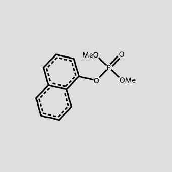 COP(=O)(OC)Oc1cccc2ccccc12